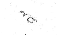 CCCC[C@H](C)C[C@H](CN)CC(=O)O